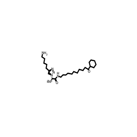 CC[C@H](C)[C@@H](C(=O)NCCCCCCCCCCC(=O)C1CCCCC1)n1cc(CCCCCN)nn1